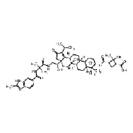 Cc1nc2ccc(C(=O)NC(C)(C)C(=O)NC[C@H](O)[C@@]34CC[C@]5(C)[C@H](CC[C@@H]6[C@@]7(C)CC[C@H](OC(=O)[C@H]8C[C@@H](C(=O)O)C8(C)C)C(C)(C)[C@@H]7CC[C@]65C)C3=C(C(C)C)C(=O)C4)cc2[nH]1